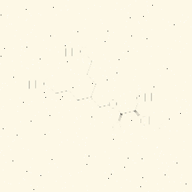 C=C(C)C(=O)OC[C](CCCC)CCCC